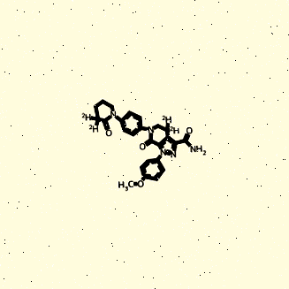 [2H]C1([2H])CCCN(c2ccc(N3CC([2H])([2H])c4c(C(N)=O)nn(-c5ccc(OC)cc5)c4C3=O)cc2)C1=O